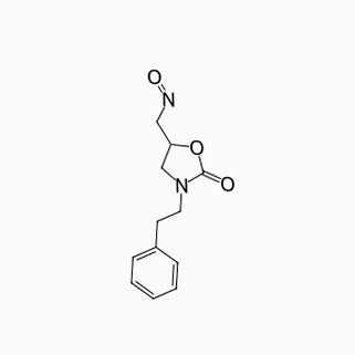 O=NCC1CN(CCc2ccccc2)C(=O)O1